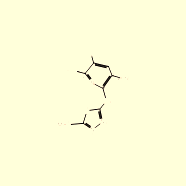 CCOC(=O)c1cc(C#N)c(Sc2nnc(SC)s2)nc1C(F)(F)F